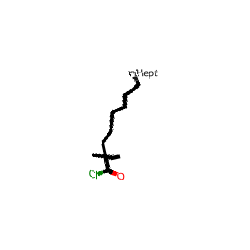 CCCCCCCCCCCCCC(C)(C)C(=O)Cl